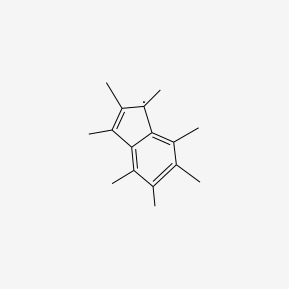 C[C]1C(C)=C(C)c2c(C)c(C)c(C)c(C)c21